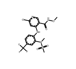 CONC(=O)c1cnc(Cl)cc1Nc1ccc(C(F)(F)F)cc1N(C)S(C)(=O)=O